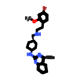 CNc1nc(N[C@H]2CC[C@@H](CNCCc3ccc(Br)cc3OC(F)(F)F)CC2)nc2ccccc12